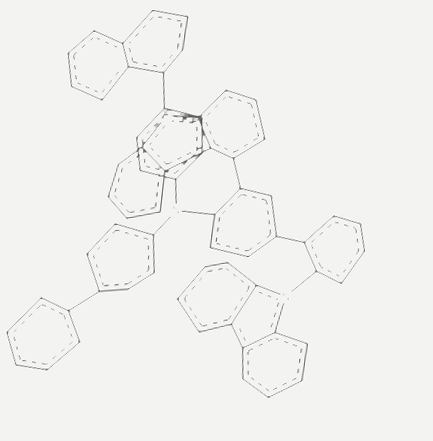 c1ccc(-c2ccc(N(c3ccc(-c4cccc5ccccc45)cc3)c3ccc(-c4ccccc4-n4c5ccccc5c5ccccc54)cc3-c3cccc4oc5ccccc5c34)cc2)cc1